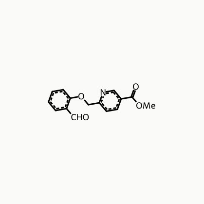 COC(=O)c1ccc(COc2ccccc2C=O)nc1